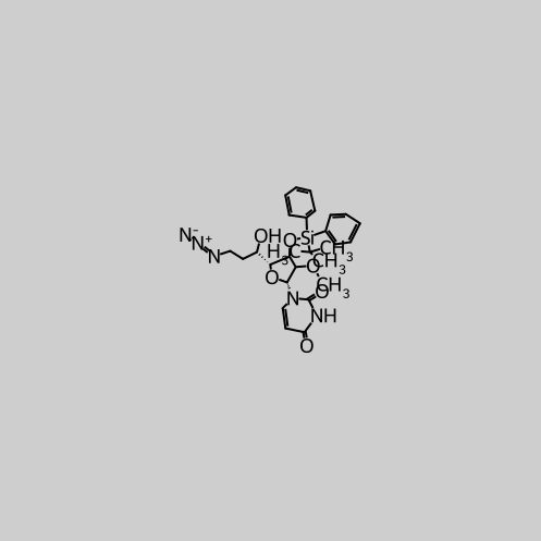 COC1C(O[Si](c2ccccc2)(c2ccccc2)C(C)(C)C)[C@@H](C(O)CCN=[N+]=[N-])O[C@H]1n1ccc(=O)[nH]c1=O